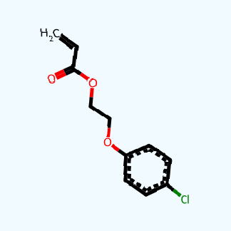 C=CC(=O)OCCOc1ccc(Cl)cc1